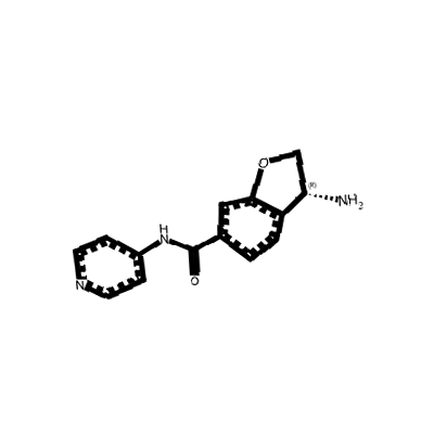 N[C@H]1COc2cc(C(=O)Nc3ccncc3)ccc21